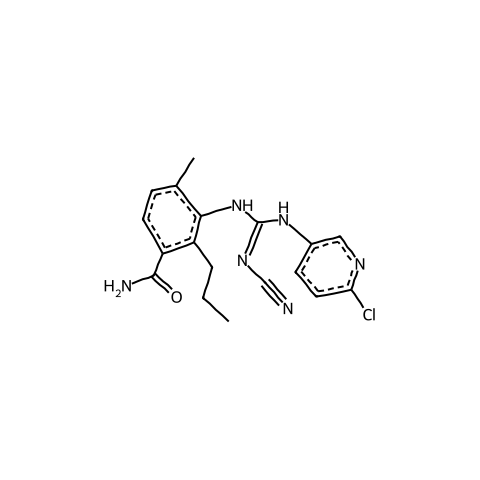 CCCc1c(C(N)=O)ccc(C)c1NC(=NC#N)Nc1ccc(Cl)nc1